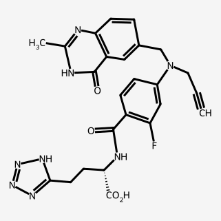 C#CCN(Cc1ccc2nc(C)[nH]c(=O)c2c1)c1ccc(C(=O)N[C@@H](CCc2nnn[nH]2)C(=O)O)c(F)c1